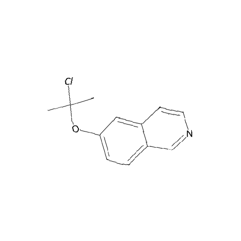 CC(C)(Cl)Oc1ccc2cnccc2c1